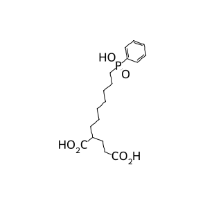 O=C(O)CCC(CCCCCCCP(=O)(O)c1ccccc1)C(=O)O